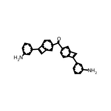 Nc1cccc(C2=Cc3cc(C(=O)c4ccc5c(c4)C=C5c4cccc(N)c4)ccc32)c1